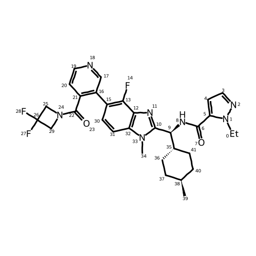 CCn1nccc1C(=O)N[C@H](c1nc2c(F)c(-c3cnccc3C(=O)N3CC(F)(F)C3)ccc2n1C)[C@H]1CC[C@H](C)CC1